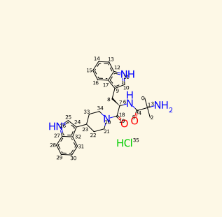 CC(C)(N)C(=O)N[C@H](Cc1c[nH]c2ccccc12)C(=O)N1CCC(c2c[nH]c3ccccc23)CC1.Cl